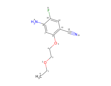 CCOCCOc1cc(N)c(F)cc1C#N